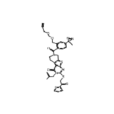 C#CCOCOCc1cc(C2(C)N=N2)ccc1C(=O)N1CCc2c(sc3nc(SCC(=O)c4cccs4)n(CC(=C)C)c(=O)c23)C1